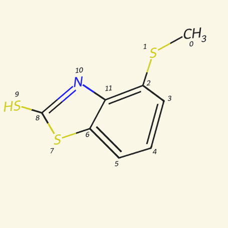 CSc1cccc2sc(S)nc12